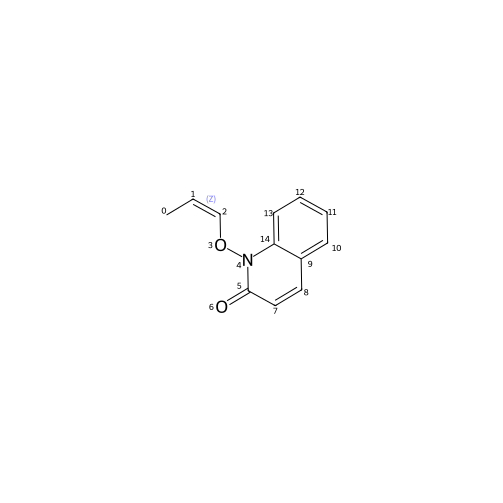 C/C=C\On1c(=O)ccc2ccccc21